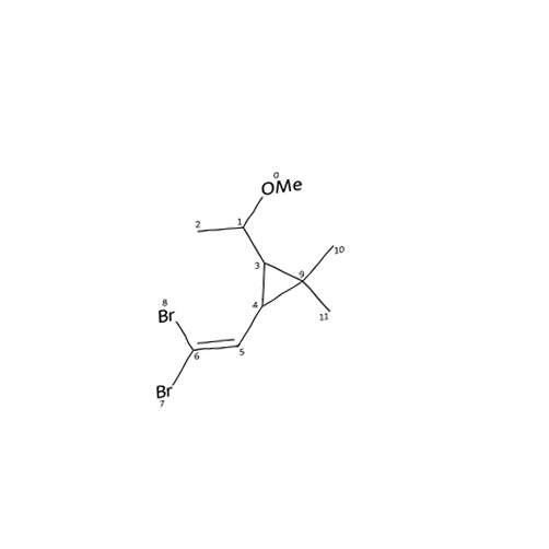 COC(C)C1C(C=C(Br)Br)C1(C)C